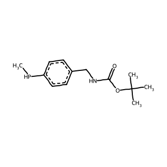 CPc1ccc(CNC(=O)OC(C)(C)C)cc1